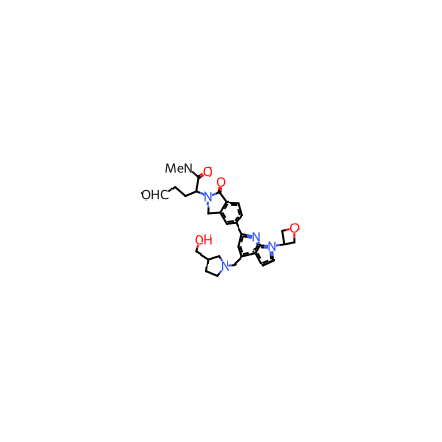 CNC(=O)C(CCC=O)N1Cc2cc(-c3cc(CN4CCC(CO)C4)c4ccn(C5COC5)c4n3)ccc2C1=O